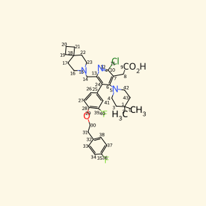 CC1(C)CCN(c2c(CC(=O)O)c(Cl)nc(CN3CCC4(CCC4)CC3)c2-c2ccc(OCCc3ccc(F)cc3)c(F)c2)CC1